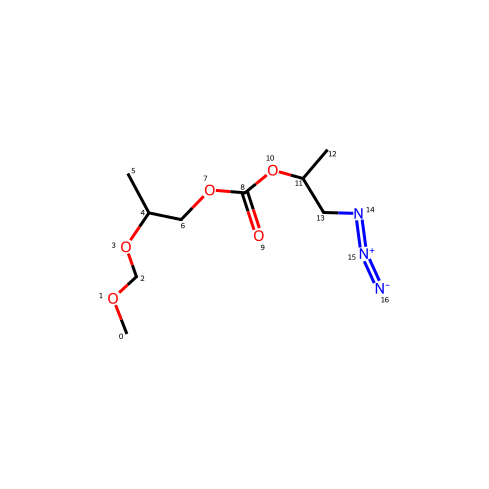 COCOC(C)COC(=O)OC(C)CN=[N+]=[N-]